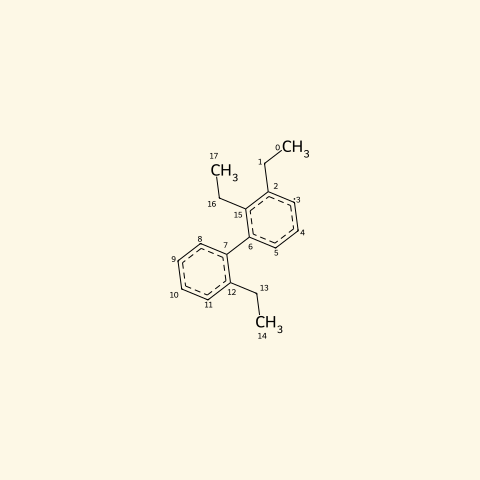 CCc1[c]ccc(-c2ccccc2CC)c1CC